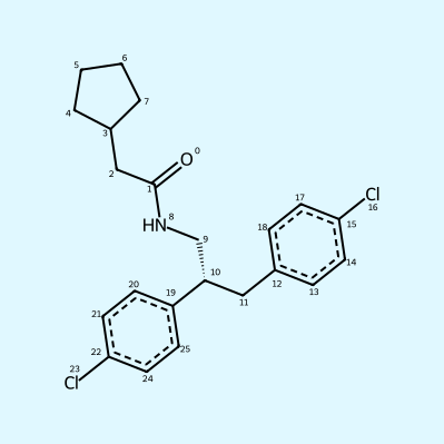 O=C(CC1CCCC1)NC[C@H](Cc1ccc(Cl)cc1)c1ccc(Cl)cc1